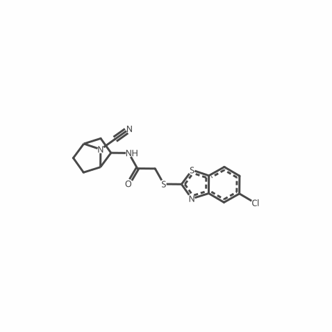 N#CN1C2CCC1C(NC(=O)CSc1nc3cc(Cl)ccc3s1)C2